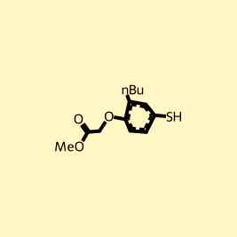 CCCCc1cc(S)ccc1OCC(=O)OC